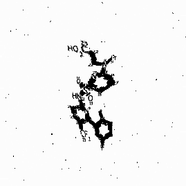 Cc1ccc(F)cc1-c1nc(NS(=O)(=O)c2cccc(N(CCC(=O)O)C(C)C)n2)ccc1C(F)(F)F